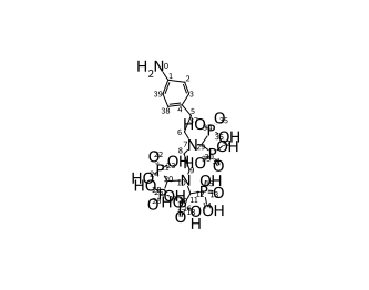 Nc1ccc(CCN(CCN(C(P(=O)(O)O)P(=O)(O)O)C(P(=O)(O)O)P(=O)(O)O)C(P(=O)(O)O)P(=O)(O)O)cc1